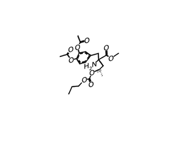 CCCOC(=O)O[C@@H](C)CC(N)(Cc1ccc(OC(C)=O)c(OC(C)=O)c1)C(=O)OC